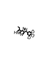 CCc1c[nH]c2ncc3c(-c4cc(OC)c(OC)c(OC)c4)nn(C)c3c12